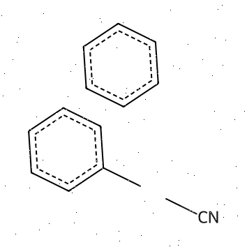 CC#N.Cc1ccccc1.c1ccccc1